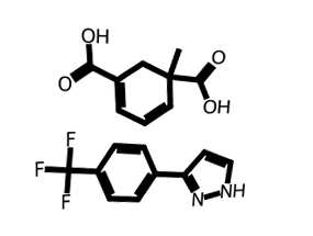 CC1(C(=O)O)C=CC=C(C(=O)O)C1.FC(F)(F)c1ccc(-c2cc[nH]n2)cc1